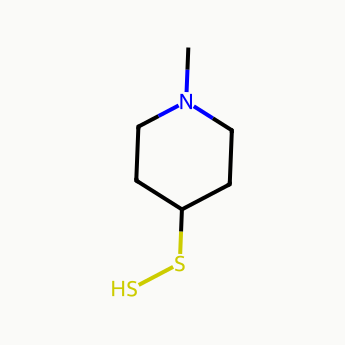 CN1CCC(SS)CC1